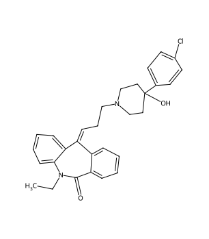 CCN1C(=O)c2ccccc2C(=CCCN2CCC(O)(c3ccc(Cl)cc3)CC2)c2ccccc21